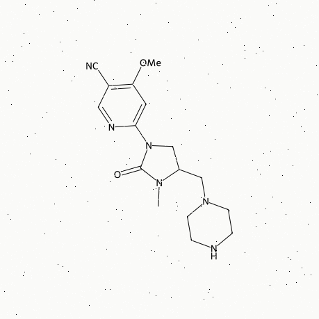 COc1cc(N2CC(CN3CCNCC3)N(C)C2=O)ncc1C#N